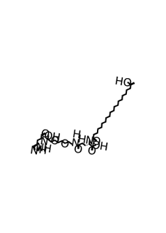 C=C(O)CCCCCCCCCCCCCCCCCCC(=O)N[C@@H](CCC(=O)NCCOCCOCC(O)NC(C=O)Cc1cnc[nH]1)C(=O)O